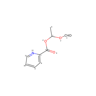 CC(O[C]=O)OC(=O)c1ccccn1